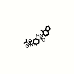 Cc1c(NC(=O)[C@H]2CC[C@H](NS(=O)(=O)C(C)C)CC2)ccc2c1CCC2